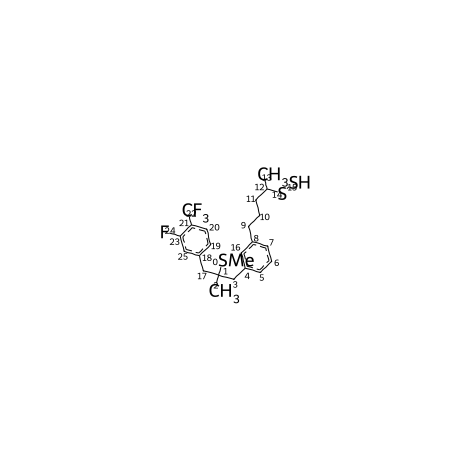 CSC(C)(Cc1cccc(CCCC(C)SS)c1)Cc1ccc(C(F)(F)F)c(F)c1